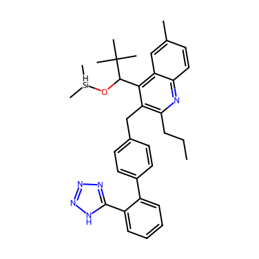 CCCc1nc2ccc(C)cc2c(C(O[SiH](C)C)C(C)(C)C)c1Cc1ccc(-c2ccccc2-c2nnn[nH]2)cc1